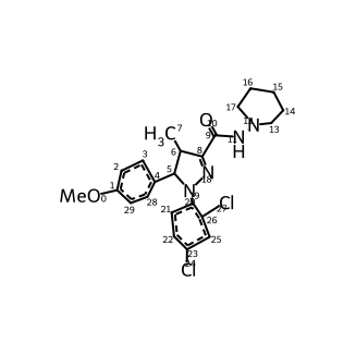 COc1ccc(C2C(C)C(C(=O)NN3CCCCC3)=NN2c2ccc(Cl)cc2Cl)cc1